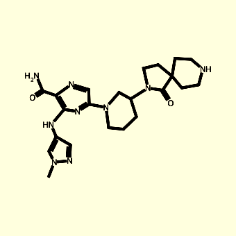 Cn1cc(Nc2nc(N3CCCC(N4CCC5(CCNCC5)C4=O)C3)cnc2C(N)=O)cn1